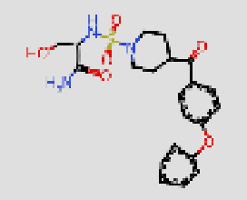 NC(=O)[C@@H](CO)NS(=O)(=O)N1CCC(C(=O)c2ccc(Oc3ccccc3)cc2)CC1